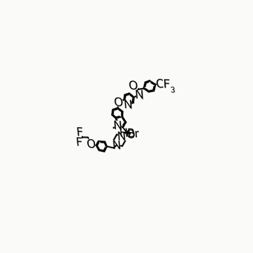 Br.CN(C(=O)c1ccc(C(F)(F)F)cc1)c1ccc(Oc2ccc3c(c2)cc(C(=O)N2CCN(Cc4ccc(OCC(F)F)cc4)CC2)n3C)nc1